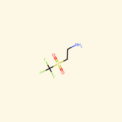 NC[CH]S(=O)(=O)C(F)(F)F